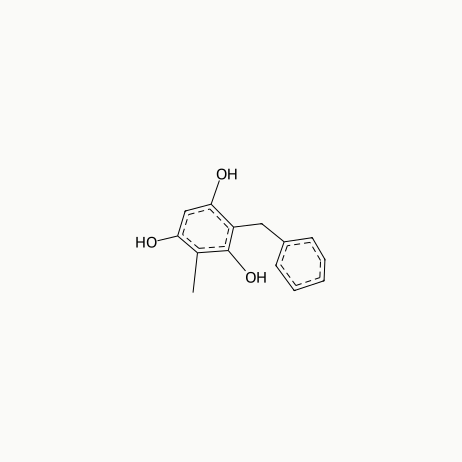 Cc1c(O)cc(O)c(Cc2ccccc2)c1O